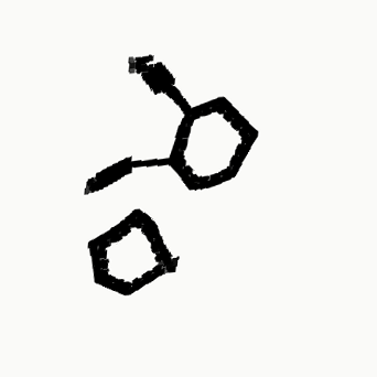 C#Cc1ccccc1C#N.c1ccncc1